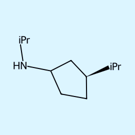 CC(C)NC1CC[C@H](C(C)C)C1